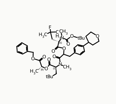 C[C@@H](OC(=O)[C@H](CC(C)(C)C)N(C)C(=O)C(Cc1ccc(C2CCOCC2)cc1)OC(=O)[C@H](CC(C)(C)F)N(C)C(=O)OC(C)(C)C)C(=O)OCc1ccccc1